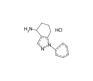 Cl.NC1CCCc2c1cnn2-c1ccccc1